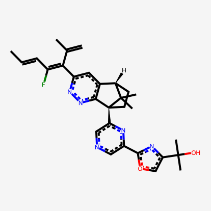 C=C(C)C(=C(F)C=CC)c1cc2c(nn1)[C@@]1(c3cncc(-c4nc(C(C)(C)O)co4)n3)CC[C@@H]2C1(C)C